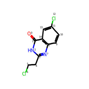 O=c1[nH]c(CCCl)nc2ccc(Cl)cc12